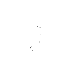 CC(=O)C1(c2ccccc2)CCN(CCOc2ccc3c(c2)CCC(=O)N3)CC1